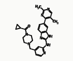 Cc1ncc(C)c(-c2ccc3nc(Nc4cc(CN5CCN(C(=O)C6CC6)CC5)ccn4)[nH]c3c2)n1